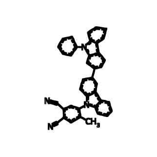 Cc1cc(C#N)c(C#N)cc1-n1c2ccccc2c2cc(-c3ccc4c5ccccc5n(-c5ccccc5)c4c3)ccc21